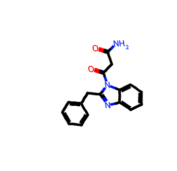 NC(=O)CC(=O)n1c(Cc2ccccc2)nc2ccccc21